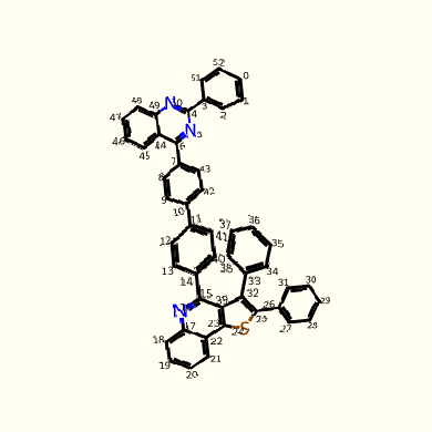 c1ccc(-c2nc(-c3ccc(-c4ccc(-c5nc6ccccc6c6sc(-c7ccccc7)c(-c7ccccc7)c56)cc4)cc3)c3ccccc3n2)cc1